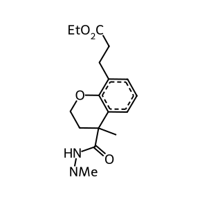 CCOC(=O)CCc1cccc2c1OCCC2(C)C(=O)NNC